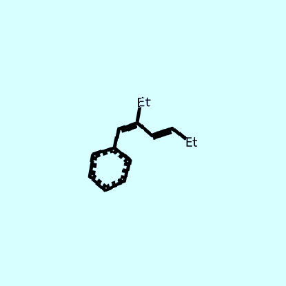 CCC=CC(=Cc1ccccc1)CC